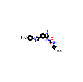 CO[C@H]1C[C@H](NC(=O)C(=O)Nc2c[nH]c3ccc(-c4cnn(-c5ccc(C(F)(F)F)cc5)c4)cc23)C1